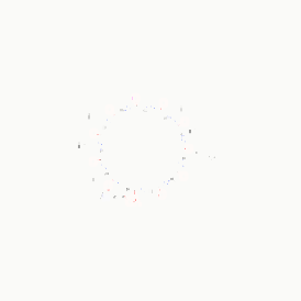 C/C=C/C[C@@H](C)[C@@H](O)[C@H]1C(=O)N[C@@H](CC)C(=O)N(C)[C@H](C)C(=O)N(C)[C@@H](CC(C)(C)OC)C(=O)N[C@@H](C(C)C)C(=O)N(C)[C@@H](CC(C)C)C(=O)N[C@@H](C)C(=O)N[C@H](C)C(=O)N(C)[C@@H](CC(C)C)C(=O)N(C)[C@@H](CC(C)C)C(=O)N(C)[C@@H](C(C)C)C(=O)N1C